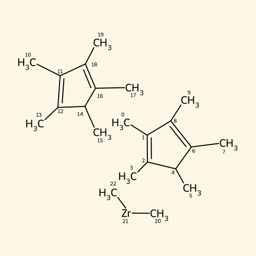 CC1=C(C)C(C)C(C)=C1C.CC1=C(C)C(C)C(C)=C1C.[CH3][Zr][CH3]